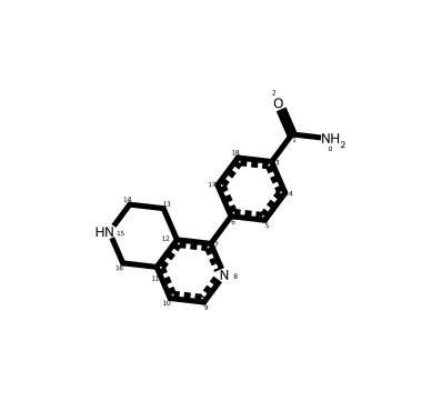 NC(=O)c1ccc(-c2nccc3c2CCNC3)cc1